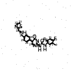 Cc1cc(NC(=O)Nc2nc(=O)c(-c3ccc(CNCc4nccs4)cc3)c[nH]2)c(F)cc1F